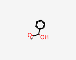 O[C@H](c1ccccc1)[C@@H]1CO1